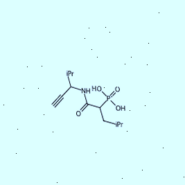 C#CC(NC(=O)C(CC(C)C)P(=O)(O)O)C(C)C